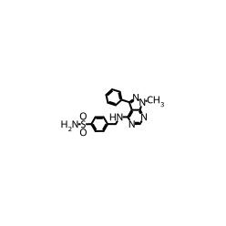 Cn1nc(-c2ccccc2)c2c(NCc3ccc(S(N)(=O)=O)cc3)ncnc21